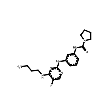 NCCCNc1nc(Nc2cccc(NC(=O)N3CCCC3)c2)ncc1F